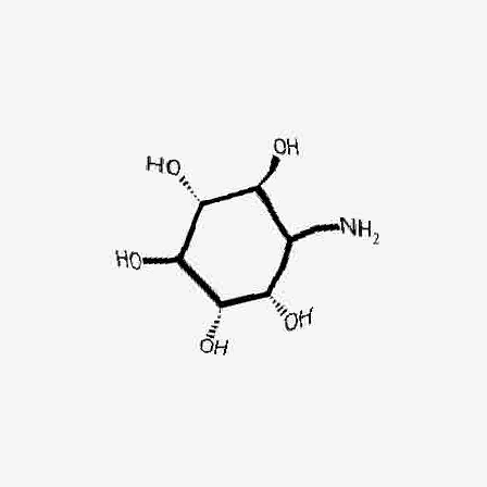 NC1[C@H](O)[C@H](O)C(O)[C@H](O)[C@H]1O